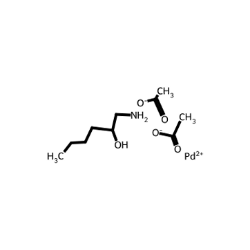 CC(=O)[O-].CC(=O)[O-].CCCCC(O)CN.[Pd+2]